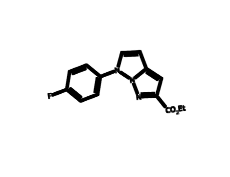 CCOC(=O)c1cc2ccn(-c3ccc(F)cc3)n2n1